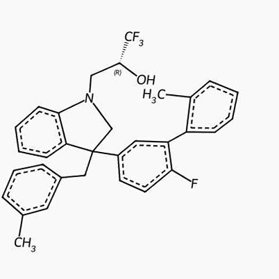 Cc1cccc(CC2(c3ccc(F)c(-c4ccccc4C)c3)CN(C[C@@H](O)C(F)(F)F)c3ccccc32)c1